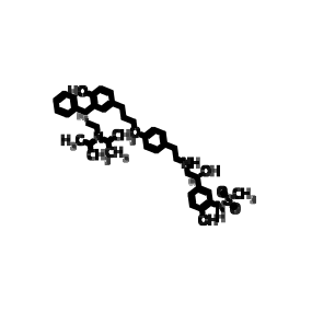 CC(C)N(CC[C@H](c1ccccc1)c1cc(CCCOc2ccc(CCNC[C@H](O)c3ccc(O)c(NS(C)(=O)=O)c3)cc2)ccc1O)C(C)C